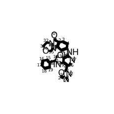 O=c1c2ccc(Nc3cc(N[C@H](CO)c4ccccc4)c(-c4nnco4)cn3)cc2n2n1CCOC2